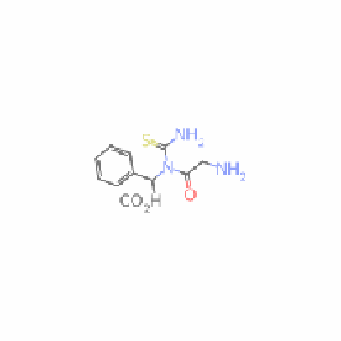 NCC(=O)N(C(N)=S)C(C(=O)O)c1ccccc1